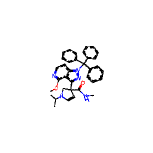 CNC(=O)C1(c2nn(C(c3ccccc3)(c3ccccc3)c3ccccc3)c3ccnc(OC)c23)C=CN(C(C)C)C1